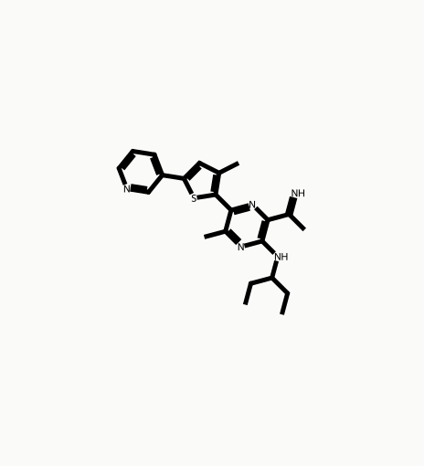 CCC(CC)Nc1nc(C)c(-c2sc(-c3cccnc3)cc2C)nc1C(C)=N